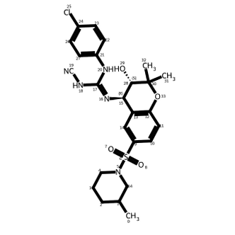 CC1CCCN(S(=O)(=O)c2ccc3c(c2)[C@@H](N=C(NC#N)Nc2ccc(Cl)cc2)[C@H](O)C(C)(C)O3)C1